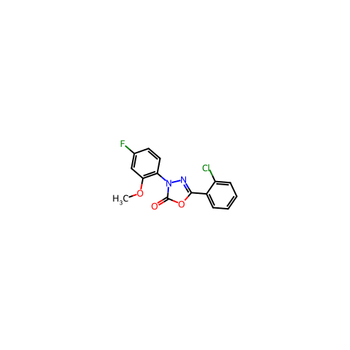 COc1cc(F)ccc1-n1nc(-c2ccccc2Cl)oc1=O